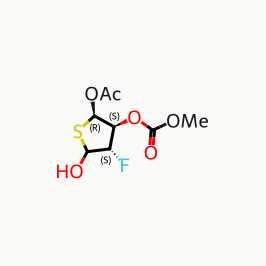 COC(=O)O[C@@H]1[C@H](OC(C)=O)SC(O)[C@H]1F